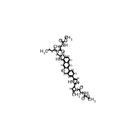 CCC[C@H](C)N(Cc1nc2ccc3cc4c(cc3c2[nH]1)OCc1cc(-c2cnc(C3C[C@H](C)N3C(=O)CNC(=O)OC)[nH]2)ccc1-4)C(=O)CNC(=O)OC